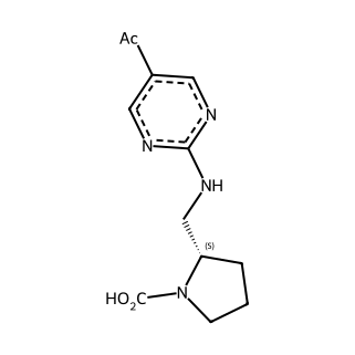 CC(=O)c1cnc(NC[C@@H]2CCCN2C(=O)O)nc1